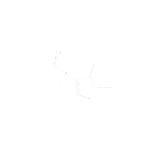 CC1=C(C)C(C(C)(C)N(C)C(C)C)=C(C)C1